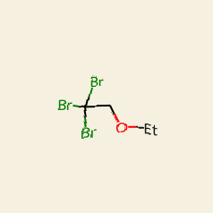 CCOCC(Br)(Br)Br